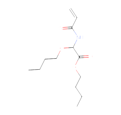 C=CC(=O)NC(OCCCC)C(=O)OCCCC